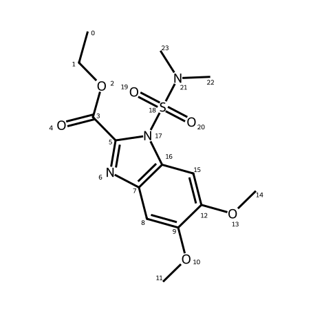 CCOC(=O)c1nc2cc(OC)c(OC)cc2n1S(=O)(=O)N(C)C